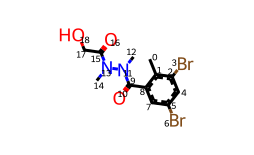 Cc1c(Br)cc(Br)cc1C(=O)N(C)N(C)C(=O)CO